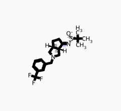 CC(C)(C)[S@+]([O-])/N=C1\CC[C@H]2CN(Cc3cccc(C(F)(F)F)c3)C[C@@H]12